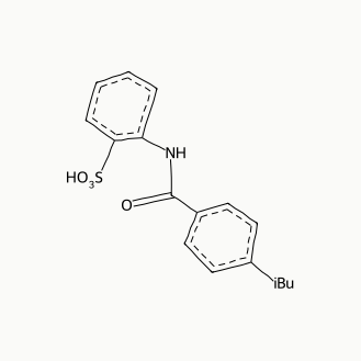 CCC(C)c1ccc(C(=O)Nc2ccccc2S(=O)(=O)O)cc1